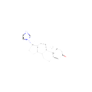 C[C@]12CCC3C(CCC4=CC(=O)CC[C@@]43C)C1CCC2n1ccnc1